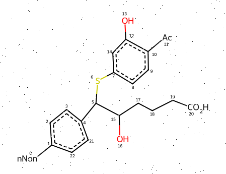 CCCCCCCCCc1ccc(C(Sc2ccc(C(C)=O)c(O)c2)C(O)CCCC(=O)O)cc1